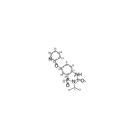 CC(C)N1C(=O)Nc2ccc(Oc3ccccn3)cc2P1(C)=O